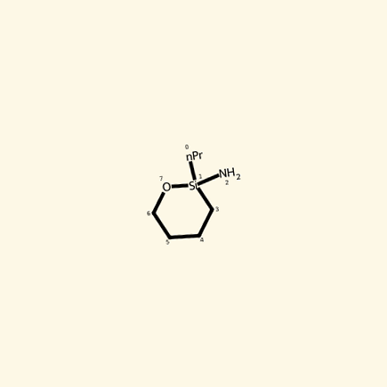 CCC[Si]1(N)CCCCO1